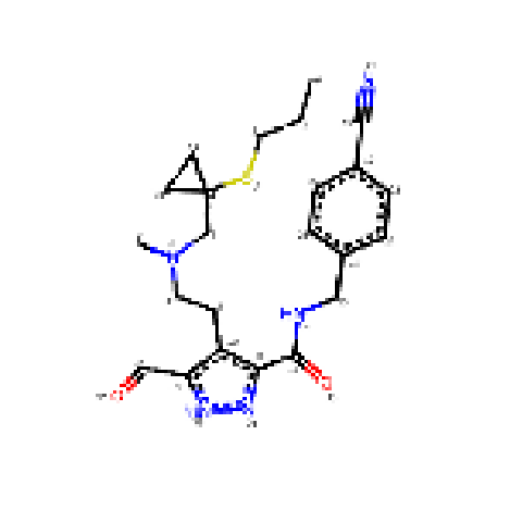 CCCSC1(CN(C)CCc2c(C(=O)NCc3ccc(C#N)cc3)n[nH]c2C=O)CC1